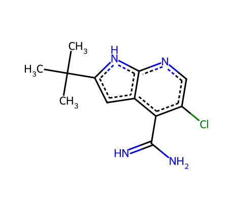 CC(C)(C)c1cc2c(C(=N)N)c(Cl)cnc2[nH]1